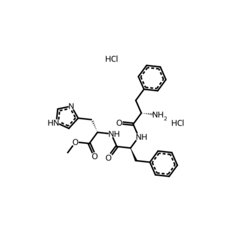 COC(=O)[C@H](Cc1c[nH]cn1)NC(=O)[C@H](Cc1ccccc1)NC(=O)[C@@H](N)Cc1ccccc1.Cl.Cl